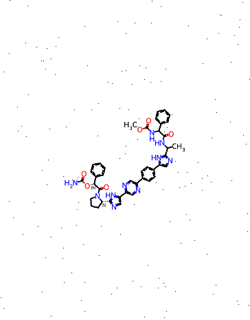 COC(=O)NC(C(=O)NC(C)c1ncc(-c2ccc(-c3cnc(-c4cnc([C@@H]5CCCN5C(=O)[C@H](OC(N)=O)c5ccccc5)[nH]4)cn3)cc2)[nH]1)c1ccccc1